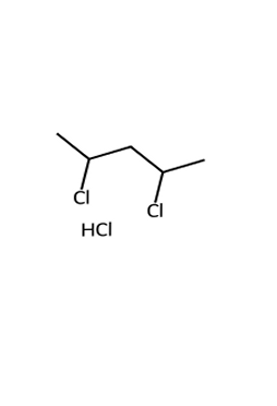 CC(Cl)CC(C)Cl.Cl